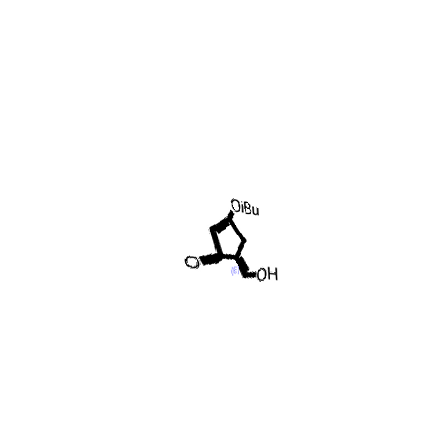 CC(C)COC1=CC(=O)/C(=C/O)C1